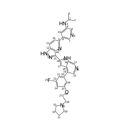 CC(C)Nc1cncc(-c2ccc3[nH]nc(-c4cc5c(-c6cc(F)cc(OCCN7CCCC7)c6)cncc5[nH]4)c3n2)c1